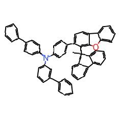 CC1(c2c(-c3ccc(N(c4ccc(-c5ccccc5)cc4)c4cccc(-c5ccccc5)c4)cc3)ccc3c2oc2ccccc23)c2ccccc2-c2ccccc21